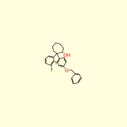 OC1CCCCCC1(c1ccc(OCc2ccccc2)cc1)c1cccc(F)c1F